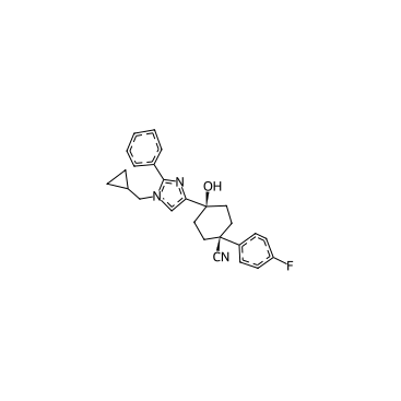 N#C[C@]1(c2ccc(F)cc2)CC[C@@](O)(c2cn(CC3CC3)c(-c3ccccc3)n2)CC1